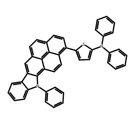 c1ccc(N(c2ccccc2)c2ccc(-c3ccc4ccc5cc6c7ccccc7n(-c7ccccc7)c6c6ccc3c4c56)s2)cc1